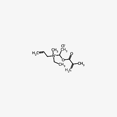 C=CC[N+](C)(CC)C(C)OC(=O)C(=C)C.[Cl-]